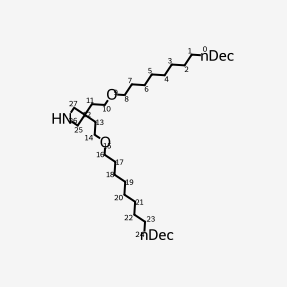 CCCCCCCCCCCCCCCCCCOCCC1(CCOCCCCCCCCCCCCCCCCCC)CNC1